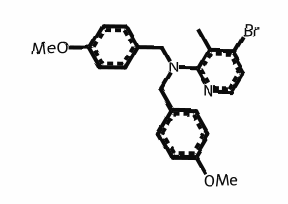 COc1ccc(CN(Cc2ccc(OC)cc2)c2nccc(Br)c2C)cc1